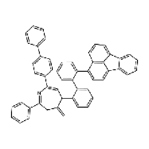 C=C1CC(c2ccccc2)=NC(c2ccc(-c3ccccc3)cc2)=CC1c1ccccc1-c1ccccc1-c1ccc2c3c(cccc13)-c1ccccc1-2